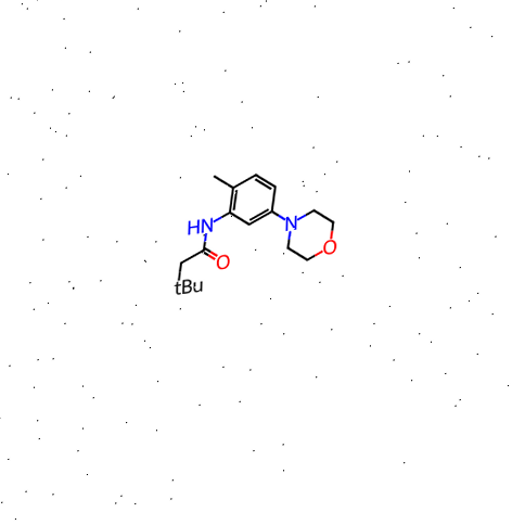 Cc1ccc(N2CCOCC2)cc1NC(=O)CC(C)(C)C